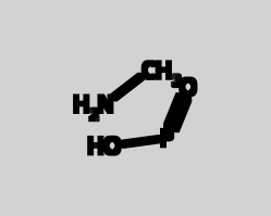 CN.O=PO